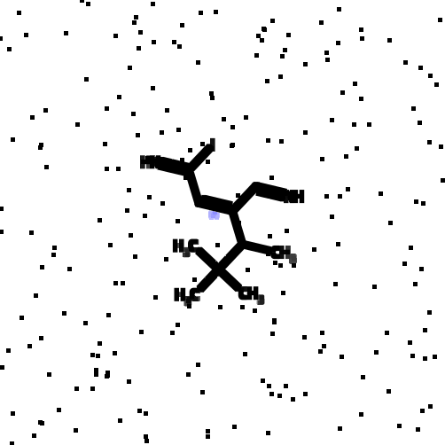 CC(/C(C=N)=C/C(=N)I)C(C)(C)C